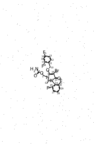 CC1N(COC(N)=O)C(OCc2ccc(F)cc2F)=C(Br)C(=O)N1c1c(F)cccc1F